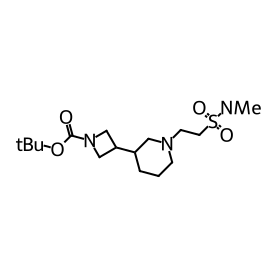 CNS(=O)(=O)CCN1CCCC(C2CN(C(=O)OC(C)(C)C)C2)C1